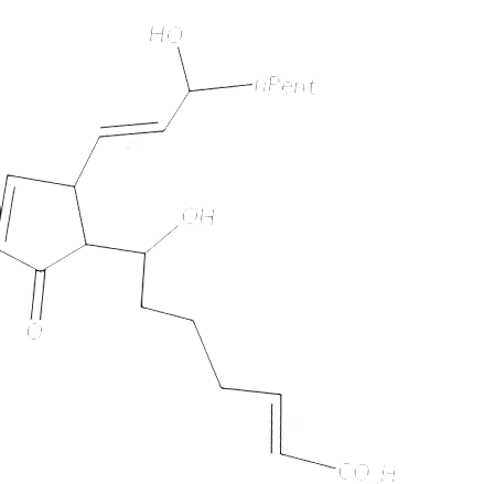 CCCCCC(O)/C=C/C1C=CC(=O)C1C(O)CCC/C=C/C(=O)O